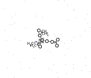 C=C/C=C\c1c(C)c2ccccc2n1-c1nc(-c2ccc(-c3ccc(N(c4ccccc4)c4ccccc4)cc3)cc2)nc(-c2ccc3c(c2)C(C)(C)c2ccccc2-3)n1